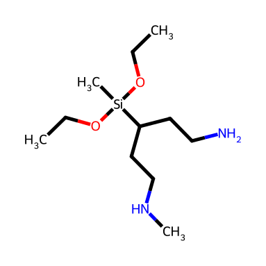 CCO[Si](C)(OCC)C(CCN)CCNC